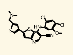 COc1cc(Nc2c(C#N)cnc3cc(-c4csc(CN(C)C)c4)sc23)c(Cl)cc1Cl